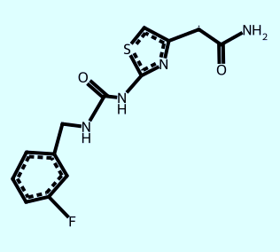 NC(=O)[CH]c1csc(NC(=O)NCc2cccc(F)c2)n1